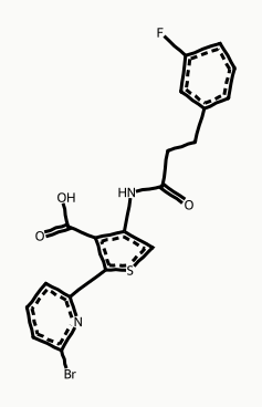 O=C(CCc1cccc(F)c1)Nc1csc(-c2cccc(Br)n2)c1C(=O)O